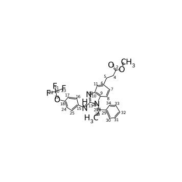 COC(=O)CCc1ccc2c(c1)nc(Nc1ccc(OC(F)(F)F)cc1)n2[C@H](C)c1ccccc1